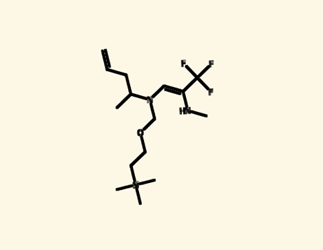 C=CCC(C)N(/C=C(\NC)C(F)(F)F)COCC[Si](C)(C)C